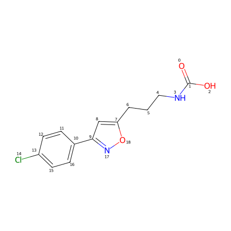 O=C(O)NCCCc1cc(-c2ccc(Cl)cc2)no1